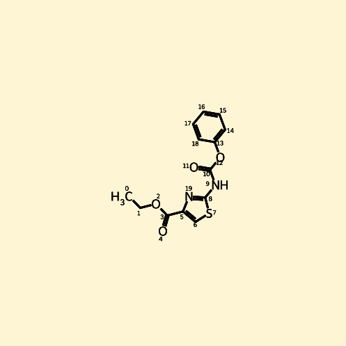 CCOC(=O)c1csc(NC(=O)Oc2ccccc2)n1